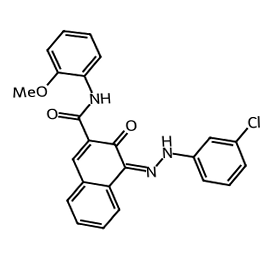 COc1ccccc1NC(=O)C1=Cc2ccccc2/C(=N/Nc2cccc(Cl)c2)C1=O